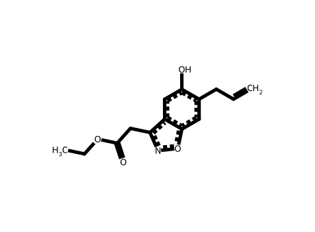 C=CCc1cc2onc(CC(=O)OCC)c2cc1O